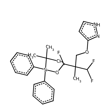 CC(COc1cc[nH]n1)(C(F)F)C(F)O[Si](c1ccccc1)(c1ccccc1)C(C)(C)C